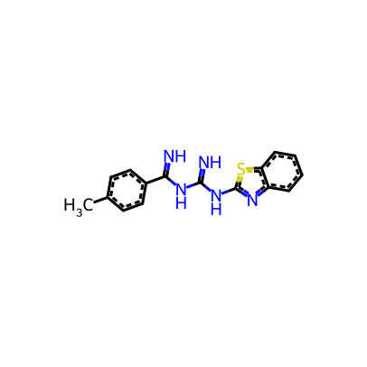 Cc1ccc(C(=N)NC(=N)Nc2nc3ccccc3s2)cc1